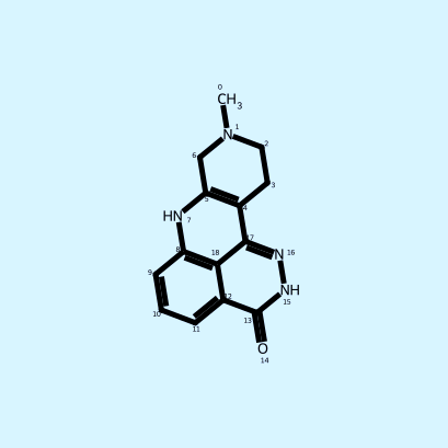 CN1CCC2=C(C1)Nc1cccc3c(=O)[nH]nc2c13